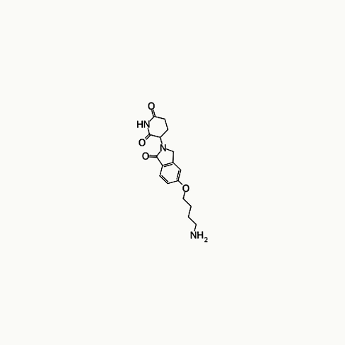 NCCCCOc1ccc2c(c1)CN(C1CCC(=O)NC1=O)C2=O